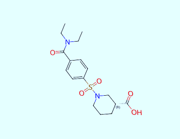 CCN(CC)C(=O)c1ccc(S(=O)(=O)N2CCC[C@@H](C(=O)O)C2)cc1